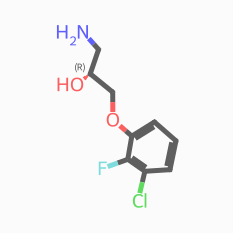 NC[C@@H](O)COc1cccc(Cl)c1F